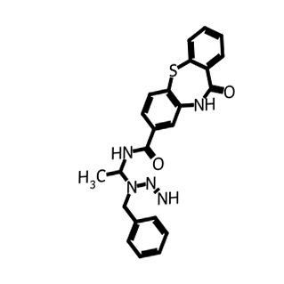 CC(NC(=O)c1ccc2c(c1)NC(=O)c1ccccc1S2)N(Cc1ccccc1)N=N